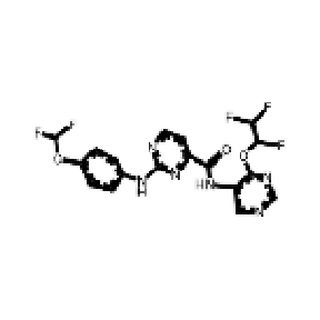 O=C(Nc1cncnc1OC(F)C(F)F)c1ccnc(Nc2ccc(OC(F)F)cc2)n1